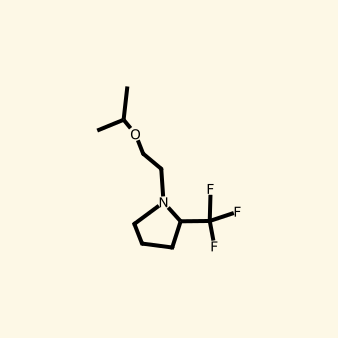 CC(C)OCCN1CCCC1C(F)(F)F